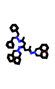 C/C(CC(C/C(C)=N/N(Cc1ccccc1)Cc1ccccc1)=NN(Cc1ccccc1)Cc1ccccc1)=N\N(Cc1ccccc1)Cc1ccccc1